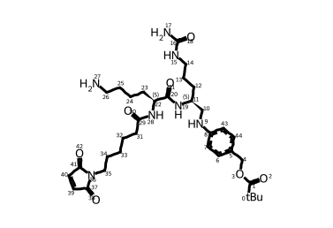 CC(C)(C)C(=O)OCc1ccc(NC[C@H](CCCNC(N)=O)NC(=O)[C@H](CCCCN)NC(=O)CCCCCN2C(=O)C=CC2=O)cc1